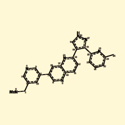 CNCc1cncc(-c2cnc3ccc(-c4c[nH]nc4-c4cccc(C)n4)nc3c2)c1